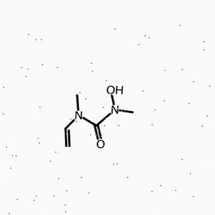 C=CN(C)C(=O)N(C)O